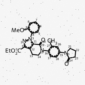 CCOC(=O)c1nn(-c2ccccc2OC)c2c1CCN(c1ccc(N3CCCC3=O)cc1C)C2=O